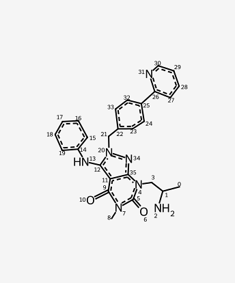 CC(N)Cn1c(=O)n(C)c(=O)c2c(Nc3ccccc3)n(Cc3ccc(-c4ccccn4)cc3)nc21